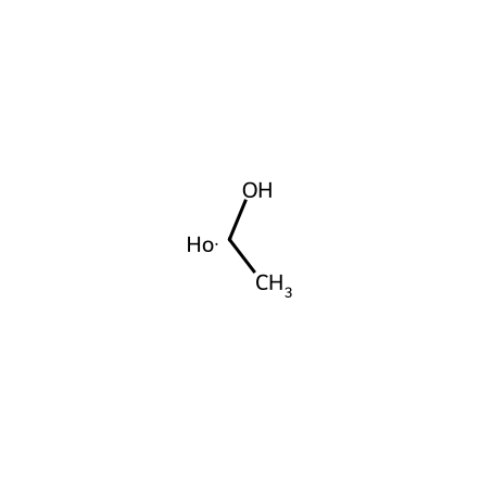 CCO.[Ho]